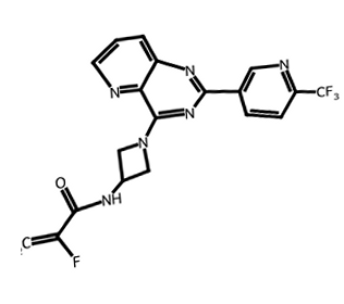 C=C(F)C(=O)NC1CN(c2nc(-c3ccc(C(F)(F)F)nc3)nc3cccnc23)C1